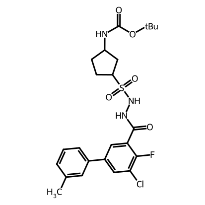 Cc1cccc(-c2cc(Cl)c(F)c(C(=O)NNS(=O)(=O)C3CCC(NC(=O)OC(C)(C)C)C3)c2)c1